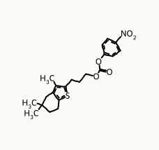 Cc1c(CCCOC(=O)Oc2ccc([N+](=O)[O-])cc2)sc2c1CC(C)(C)CC2